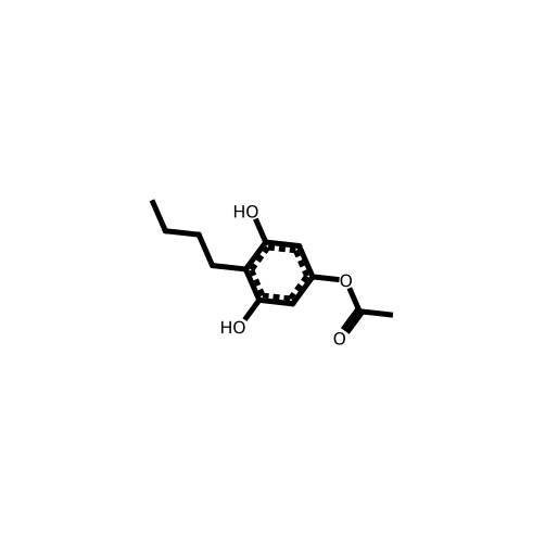 CCCCc1c(O)cc(OC(C)=O)cc1O